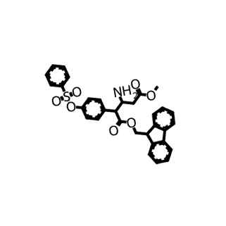 COC(=O)CC(N)C(C(=O)OCC1c2ccccc2-c2ccccc21)c1ccc(OS(=O)(=O)c2ccccc2)cc1